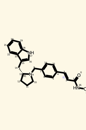 O=C(/C=C/c1ccc(CN2CCC[C@@H]2Cc2c[nH]c3ccccc23)cc1)NO